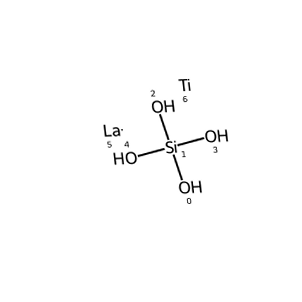 O[Si](O)(O)O.[La].[Ti]